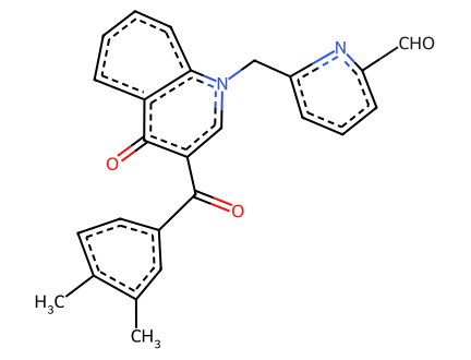 Cc1ccc(C(=O)c2cn(Cc3cccc(C=O)n3)c3ccccc3c2=O)cc1C